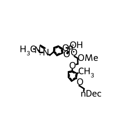 CCCCCCCCCCCCOc1cccc(OCC(COP(=O)(O)Oc2ccc(CN3[CH]N(C)C=C3)cc2)OC)c1C